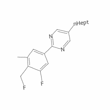 CCCCCCCc1cnc(-c2cc(C)c(CF)c(F)c2)nc1